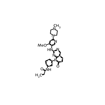 C=CC(=O)Nc1cccc(-n2c(=O)ccc3cnc(Nc4cnc(N5CCN(C)CC5)cc4OC)nc32)c1